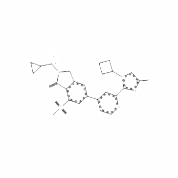 Cc1cn(C2CCC2)c(-c2cc(-c3cc4c(c(S(C)(=O)=O)c3)C(=O)N([C@@H](C)C3CC3)C4)ccn2)n1